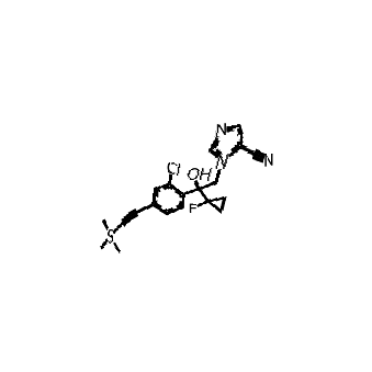 CS(C)(C)C#Cc1ccc(C(O)(Cn2cncc2C#N)C2(F)CC2)c(Cl)c1